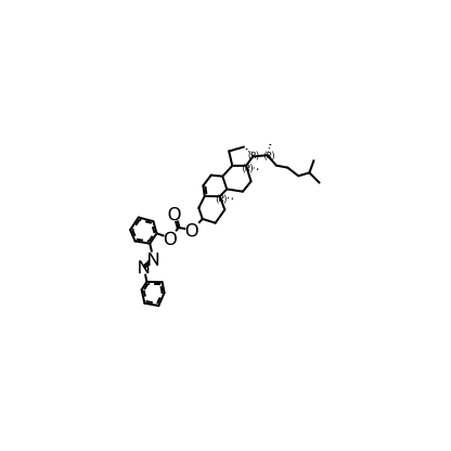 CC(C)CCC[C@@H](C)[C@H]1CCC2C3CC=C4CC(OC(=O)Oc5ccccc5N=Nc5ccccc5)CC[C@]4(C)C3CC[C@@]21C